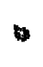 COc1ccc2c(c1)-c1nc(Nc3ccc(OCCN(C)C)cc3)ncc1CC2